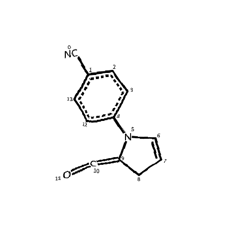 N#Cc1ccc(N2C=CCC2=C=O)cc1